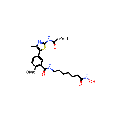 CCCCCC(=O)Nc1nc(C)c(-c2ccc(OC)c(C(=O)NCCCCCCC(=O)NO)c2)s1